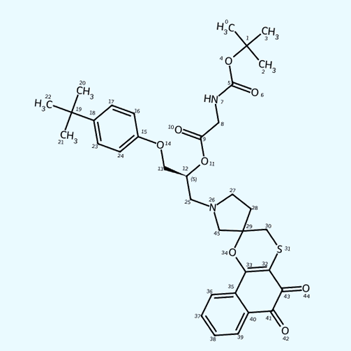 CC(C)(C)OC(=O)NCC(=O)O[C@H](COc1ccc(C(C)(C)C)cc1)CN1CCC2(CSC3=C(O2)c2ccccc2C(=O)C3=O)C1